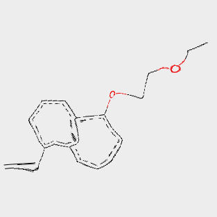 C=Cc1cccc2c(OCCOCC)cccc12